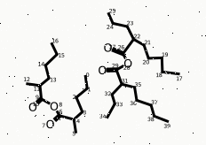 CCCCC(C)C(=O)OC(=O)C(C)CCCC.CCCCCC(CCC)C(=O)OC(=O)C(CCC)CCCCC